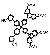 COc1ccc2c(c1)c1cc(OC)ccc1n2-c1ccc(C(c2ccc(-c3cccc(C#N)c3)cc2)(c2ccc(-c3cccc(C#N)c3)cc2)c2ccc(-n3c4ccc(OC)cc4c4cc(OC)ccc43)cc2)cc1